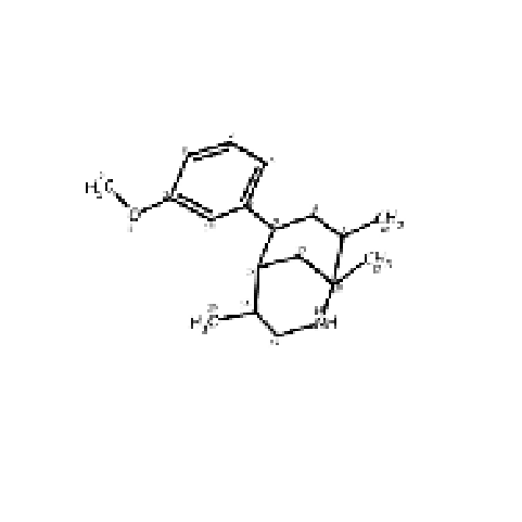 COc1cccc(C2CC(C)C3(C)CC2C(C)CN3)c1